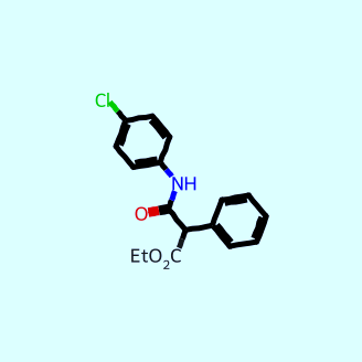 CCOC(=O)C(C(=O)Nc1ccc(Cl)cc1)c1ccccc1